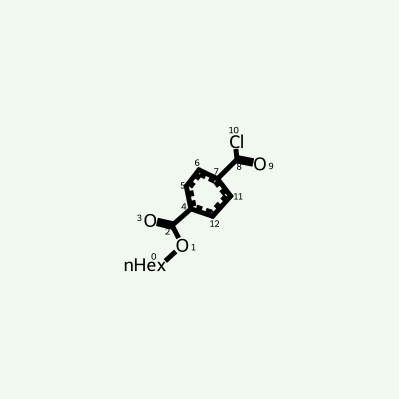 CCCCCCOC(=O)c1ccc(C(=O)Cl)cc1